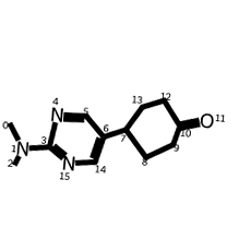 CN(C)c1ncc(C2CCC(=O)CC2)cn1